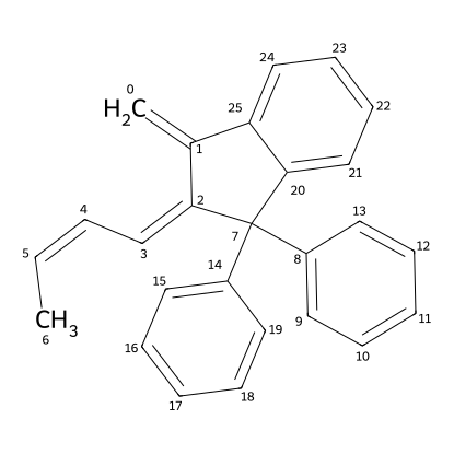 C=C1/C(=C\C=C/C)C(c2ccccc2)(c2ccccc2)c2ccccc21